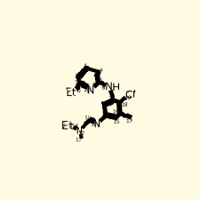 CCc1cccc(Nc2cc(N=CN(C)CC)cc(C)c2Cl)n1